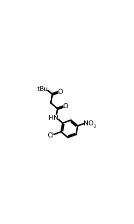 CC(C)(C)C(=O)CC(=O)Nc1cc([N+](=O)[O-])ccc1Cl